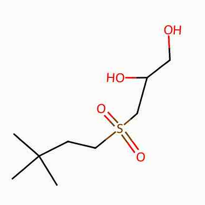 CC(C)(C)CCS(=O)(=O)CC(O)CO